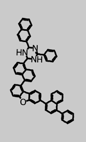 c1ccc(C2=NC(c3ccc4ccccc4c3)NC(c3cccc4c(-c5cccc6oc7cc(-c8ccc(-c9ccccc9)c9ccccc89)ccc7c56)cccc34)N2)cc1